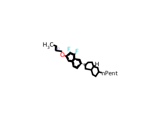 C/C=C/COc1cc2ccc([C@@H]3CC[C@@H]4CC(CCCCC)CCC4C3)cc2c(F)c1F